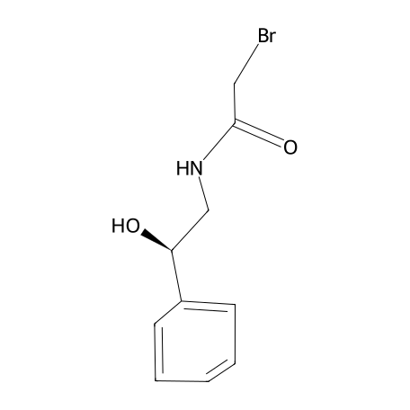 O=C(CBr)NC[C@H](O)c1ccccc1